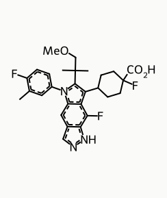 COCC(C)(C)c1c(C2CCC(F)(C(=O)O)CC2)c2c(F)c3[nH]ncc3cc2n1-c1ccc(F)c(C)c1